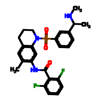 CNC(C)c1cccc(S(=O)(=O)N2CCCc3cc(C)c(NC(=O)c4c(F)cccc4F)cc32)c1